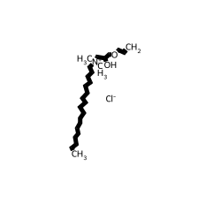 C=CCOCC(O)C[N+](C)(C)CCCCCCCCCCCCCCCCCC.[Cl-]